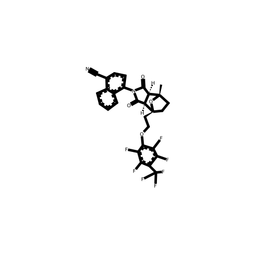 C[C@@]12CC[C@@](CCOc3c(F)c(F)c(C(F)(F)F)c(F)c3F)(O1)[C@H]1C(=O)N(c3ccc(C#N)c4ccccc34)C(=O)[C@H]12